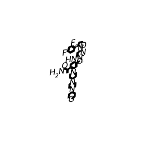 C=C(C(N)=O)c1cc(Nc2cc(N3OCC[C@@H]3c3ccc(F)cc3F)ncn2)c(OC)cc1N1CCC(N2CCN(C3CCOCC3)CC2)CC1